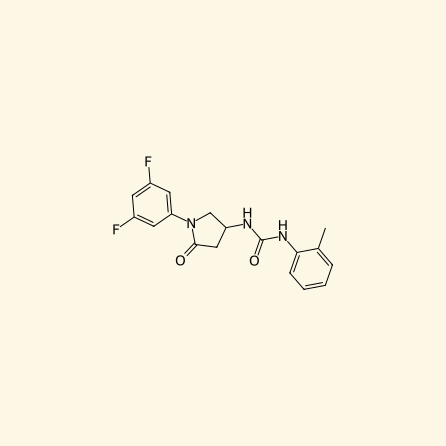 Cc1ccccc1NC(=O)NC1CC(=O)N(c2cc(F)cc(F)c2)C1